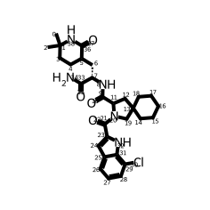 CC1(C)CCC(C[C@H](NC(=O)C2CC3(CCCCC3)CN2C(=O)c2cc3cccc(Cl)c3[nH]2)C(N)=O)C(=O)N1